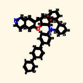 c1ccc(-c2ccc(-c3ccc(N(c4ccccc4-c4ccccc4)c4cccc5c4oc4cc6ccncc6cc45)cc3)cc2)cc1